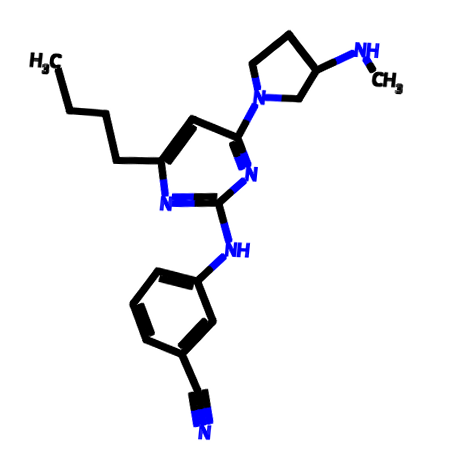 CCCCc1cc(N2CCC(NC)C2)nc(Nc2cccc(C#N)c2)n1